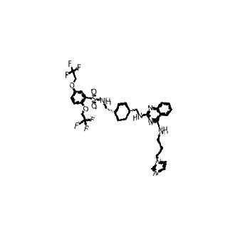 O=S(=O)(NC[C@H]1CC[C@H](CNc2nc(NCCCn3ccnc3)c3ccccc3n2)CC1)c1cc(OCC(F)(F)F)ccc1OCC(F)(F)F